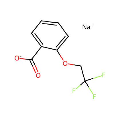 O=C([O-])c1ccccc1OCC(F)(F)F.[Na+]